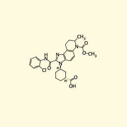 COC(=O)N1c2ccc3c(nc(C(=O)Nc4ccccc4Cl)n3[C@@H]3CCC[C@@H](C(=O)O)C3)c2CCC1C